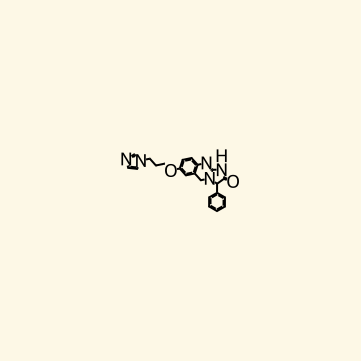 O=C1NC2=Nc3ccc(OCCCn4ccnc4)cc3CN2C1c1ccccc1